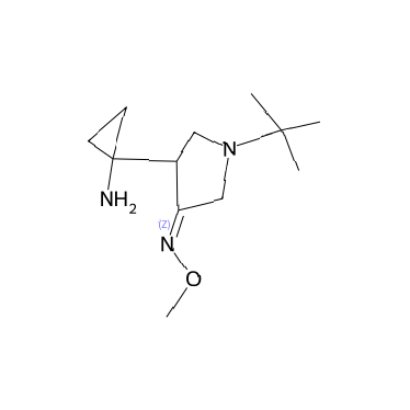 CO/N=C1\CN(C(C)(C)C)CC1C1(N)CC1